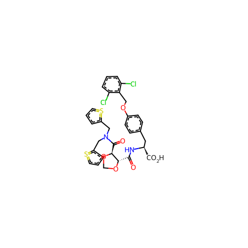 O=C(O)[C@H](Cc1ccc(OCc2c(Cl)cccc2Cl)cc1)NC(=O)[C@@H]1OCO[C@H]1C(=O)N(Cc1cccs1)Cc1cccs1